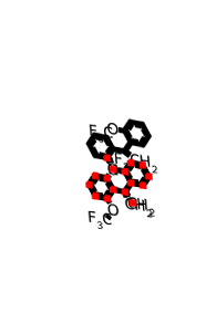 C=C(c1ccccc1OC(F)(F)F)c1ccccc1N(c1ccccc1C(=C)c1ccccc1OC(F)(F)F)c1ccccc1C(=C)c1ccccc1OC(F)(F)F